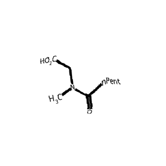 CCCCCC(=O)N(C)CC(=O)O